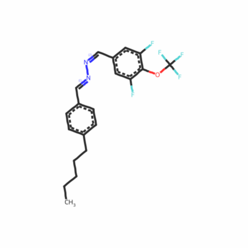 CCCCCc1ccc(/C=N/N=C\c2cc(F)c(OC(F)(F)F)c(F)c2)cc1